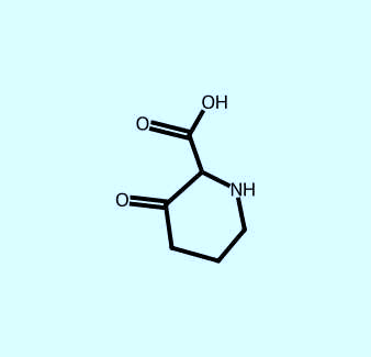 O=C(O)C1NCCCC1=O